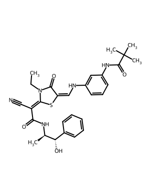 CCn1c(=C(C#N)C(=O)N[C@H](C)[C@@H](O)c2ccccc2)sc(=CNc2cccc(NC(=O)C(C)(C)C)c2)c1=O